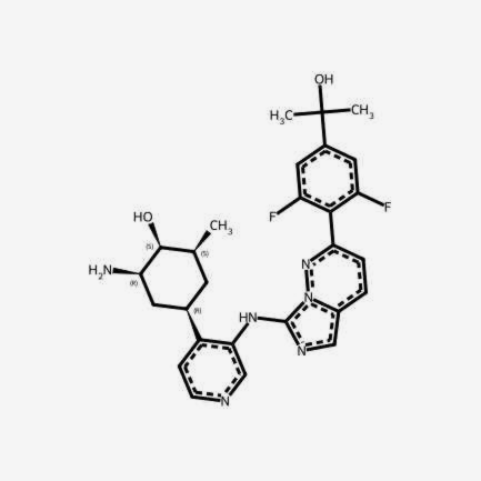 C[C@H]1C[C@@H](c2ccncc2Nc2ncc3ccc(-c4c(F)cc(C(C)(C)O)cc4F)nn23)C[C@@H](N)[C@H]1O